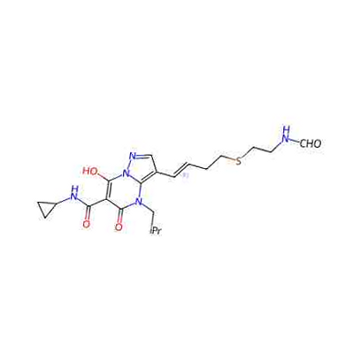 CC(C)Cn1c(=O)c(C(=O)NC2CC2)c(O)n2ncc(/C=C/CCSCCNC=O)c12